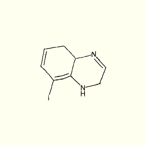 IC1=C2NCC=NC2CC=C1